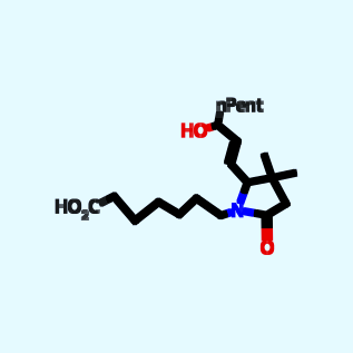 CCCCCC(O)C=CC1N(CCCCCCC(=O)O)C(=O)CC1(C)C